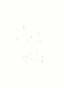 CCO[Si](OCC)(OCC)O[Si](C)(C)O[Si](OCC)(OCC)OCC